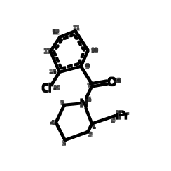 CC(C)C1CCCCN1C(=O)c1ccccc1Cl